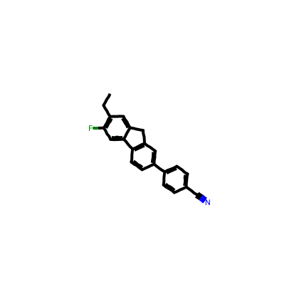 CCc1cc2c(cc1F)-c1ccc(-c3ccc(C#N)cc3)cc1C2